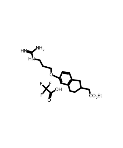 CCOC(=O)CC1CCc2cc(OCCCNC(=N)N)ccc2C1.O=C(O)C(F)(F)F